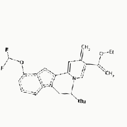 C=C1C=C2c3cc4c(OC(F)F)cccc4n3CC(C(C)(C)C)N2C=C1C(=C)OCC